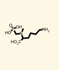 CN(CP(=O)(O)O)C(CCCCN)C(=O)O